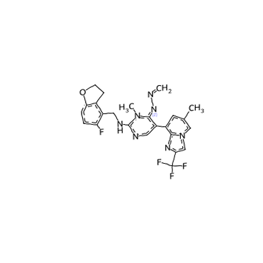 C=N/N=c1/c(-c2cc(C)cn3cc(C(F)(F)F)nc23)cnc(NCc2c(F)ccc3c2CCO3)n1C